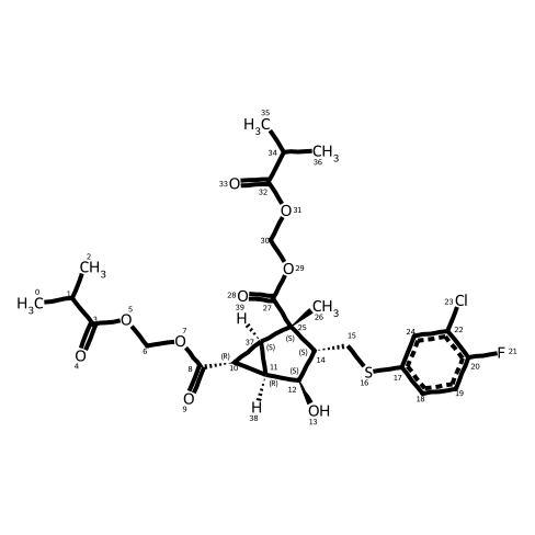 CC(C)C(=O)OCOC(=O)[C@H]1[C@@H]2[C@H](O)[C@@H](CSc3ccc(F)c(Cl)c3)[C@@](C)(C(=O)OCOC(=O)C(C)C)[C@H]12